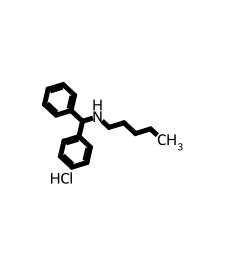 CCCCCNC(c1ccccc1)c1ccccc1.Cl